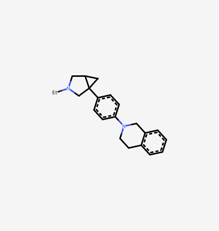 CCN1CC2CC2(c2ccc(N3CCc4ccccc4C3)cc2)C1